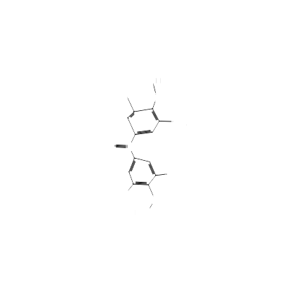 COc1c(C)cc([PH](=O)c2cc(C)c(OC)c(C)c2)cc1C